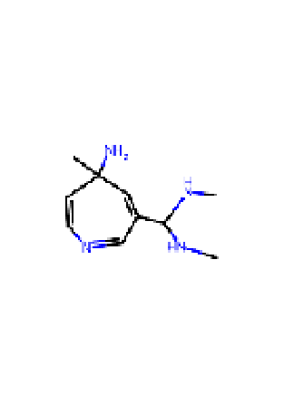 CNC(NC)C1=CC(C)(N)C=CN=C1